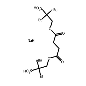 CCCCC(CC)(COC(=O)CCC(=O)OCC(CC)(CCCC)S(=O)(=O)O)S(=O)(=O)O.[NaH]